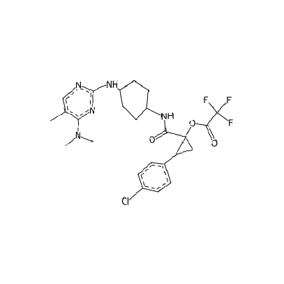 Cc1cnc(NC2CCC(NC(=O)C3(OC(=O)C(F)(F)F)CC3c3ccc(Cl)cc3)CC2)nc1N(C)C